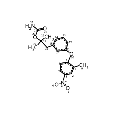 Cc1cc([N+](=O)[O-])ccc1Oc1cccc(CC(C)(C)OC(N)=O)c1